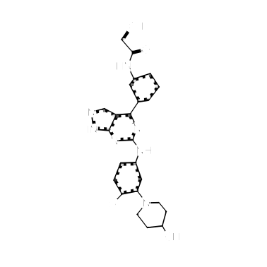 C=CC(=O)Nc1cccc(-c2nc(Nc3ccc(O)c(N4CCC(C)CC4)c3)nc3[nH]ncc23)c1